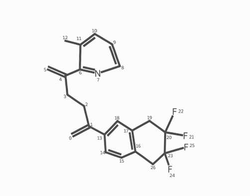 C=C(CCC(=C)c1ncccc1C)c1ccc2c(c1)CC(F)(F)C(F)(F)C2